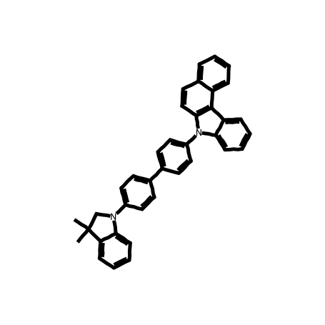 CC1(C)CN(c2ccc(-c3ccc(-n4c5ccccc5c5c6ccccc6ccc54)cc3)cc2)c2ccccc21